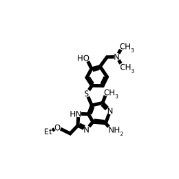 CCOCc1nc2c(N)nc(C)c(Sc3ccc(CN(C)C)c(O)c3)c2[nH]1